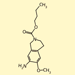 CCCCOC(=O)N1CCc2cc(OC)c(N)cc2C1